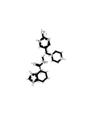 O=C(NC[C@H](c1cnc(C(F)(F)F)nc1)N1CCOCC1)[C@H]1CCCc2ncsc21